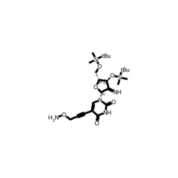 CC(C)(C)[Si](C)(C)OC[C@H]1O[C@@H](n2cc(C#CCON)c(=O)[nH]c2=O)C(=N)[C@@H]1O[Si](C)(C)C(C)(C)C